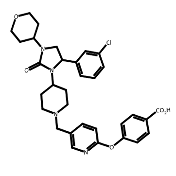 O=C(O)c1ccc(Oc2ccc(CN3CCC(N4C(=O)N(C5CCOCC5)CC4c4cccc(Cl)c4)CC3)cn2)cc1